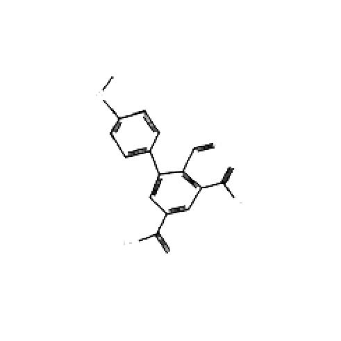 COc1ccc(-c2cc(C(=O)O)cc(C(=O)O)c2C=O)cc1